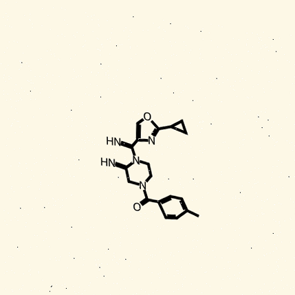 Cc1ccc(C(=O)N2CCN(C(=N)c3coc(C4CC4)n3)C(=N)C2)cc1